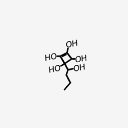 CCCC(O)C1(O)C(O)=C(O)C1O